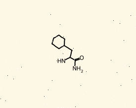 [NH]C(CC1CCCCC1)C(N)=O